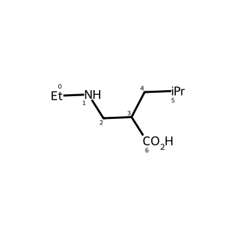 CCNCC(CC(C)C)C(=O)O